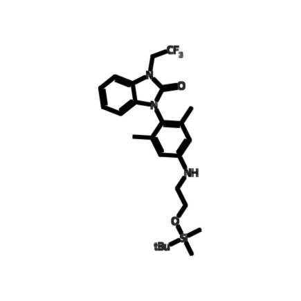 Cc1cc(NCCO[Si](C)(C)C(C)(C)C)cc(C)c1-n1c(=O)n(CC(F)(F)F)c2ccccc21